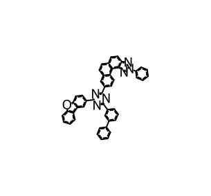 c1ccc(-c2cccc(-c3nc(-c4ccc5c(ccc6ccc7nn(-c8ccccc8)nc7c65)c4)nc(-c4ccc5oc6ccccc6c5c4)n3)c2)cc1